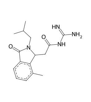 Cc1cccc2c1C(CC(=O)NC(=N)N)N(CC(C)C)C2=O